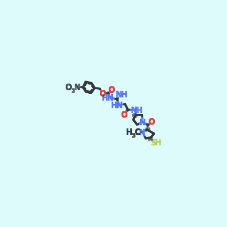 CN1C[C@@H](S)C[C@H]1C(=O)N1CC[C@H](NC(=O)CNC(=N)NC(=O)OCc2ccc([N+](=O)[O-])cc2)C1